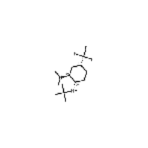 CN(C)[C@H]1C[C@H](C(F)(F)F)CC[C@@H]1NC(C)(C)C